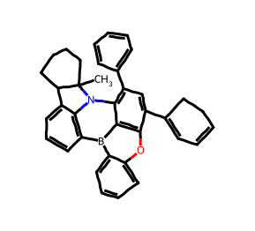 CC12CCCCC1c1cccc3c1N2c1c(-c2ccccc2)cc(C2=CC=CCC2)c2c1B3c1ccccc1O2